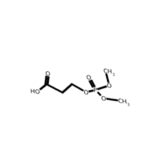 COP(=O)(OC)OCCC(=O)O